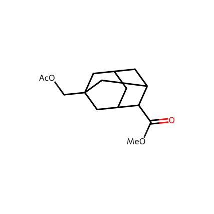 COC(=O)C1C2CC3CC1CC(COC(C)=O)(C3)C2